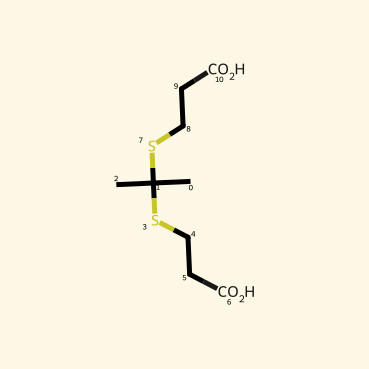 CC(C)(SCCC(=O)O)SCCC(=O)O